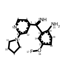 N=C(c1ccnc(N2CCCC2)c1)c1cc(OF)ccc1N